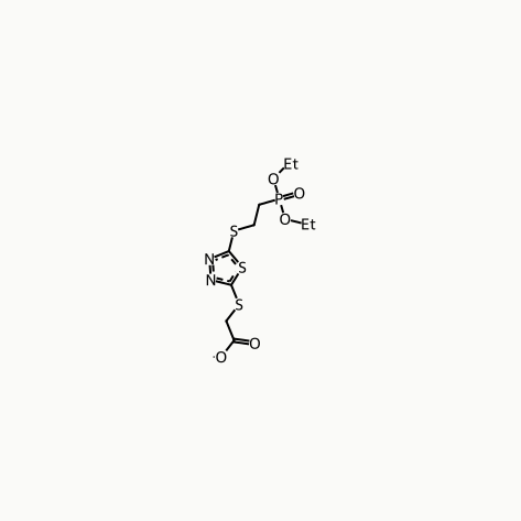 CCOP(=O)(CCSc1nnc(SCC([O])=O)s1)OCC